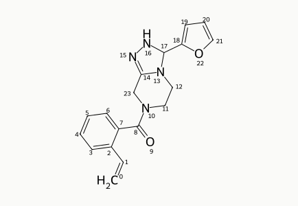 C=Cc1ccccc1C(=O)N1CCN2C(=NNC2c2ccco2)C1